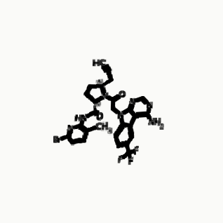 C#CC[C@@H]1CC[C@@H](C(=O)Nc2nc(Br)ccc2C)N1C(=O)Cn1c2ccc(C(F)(F)F)cc2c2c(N)ncnc21